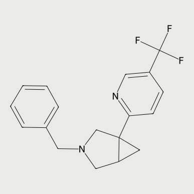 FC(F)(F)c1ccc(C23CC2CN(Cc2ccccc2)C3)nc1